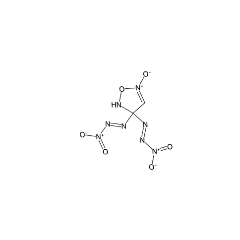 O=[N+]([O-])N=NC1(N=N[N+](=O)[O-])C=[N+]([O-])ON1